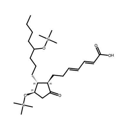 CCCCC(CCC[C@H]1[C@H](O[Si](C)(C)C)CC(=O)[C@@H]1CCC=CC=CC(=O)O)O[Si](C)(C)C